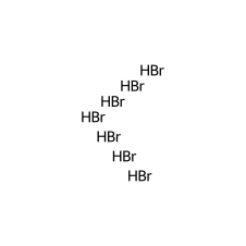 Br.Br.Br.Br.Br.Br.Br